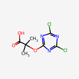 CC(C)(Oc1nc(Cl)nc(Cl)n1)C(=O)O